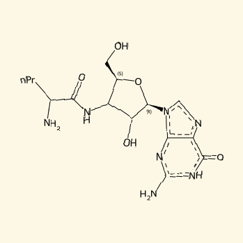 CCCC(N)C(=O)NC1C(O)[C@H](n2cnc3c(=O)[nH]c(N)nc32)O[C@@H]1CO